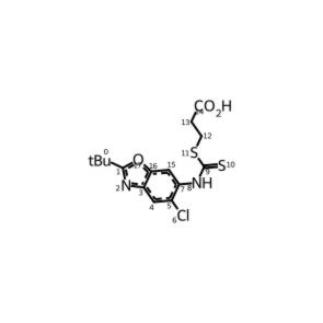 CC(C)(C)c1nc2cc(Cl)c(NC(=S)SCCC(=O)O)cc2o1